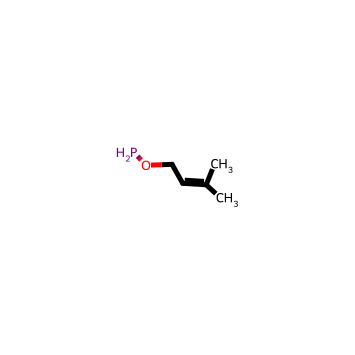 CC(C)=CCOP